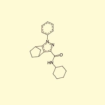 O=C(NC1CCCCC1)c1nn(-c2ccccc2)c2c1C1CCC2C1